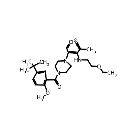 C=C/C(=C(/NCCOCC)C(C)=O)N1CCN(C(=O)c2cc(C(C)(C)C)ccc2OC)CC1